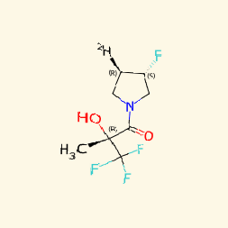 [2H][C@@H]1CN(C(=O)[C@@](C)(O)C(F)(F)F)C[C@H]1F